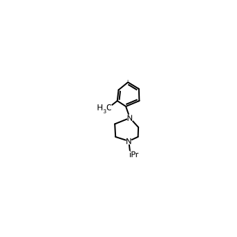 Cc1c[c]ccc1N1CCN(C(C)C)CC1